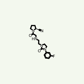 N#C[C@@H]1CCCN1C(=O)CNCCN1CCN(c2cccc(F)c2)C1=O